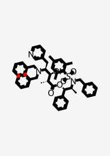 Cc1cc(C)c(S(=O)(=O)N(Cc2ccccc2)[C@@H](C)[C@H](OC(=O)[C@H](C)[C@H](O)[C@H](Cc2cccnc2)N(Cc2ccccc2)Cc2ccccc2)c2ccccc2)c(C)c1